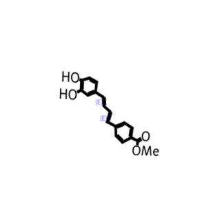 COC(=O)c1ccc(/C=C/C=C/c2ccc(O)c(O)c2)cc1